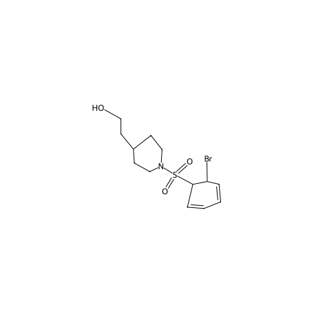 O=S(=O)(C1C=CC=CC1Br)N1CCC(CCO)CC1